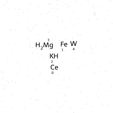 [Ce].[Fe].[KH].[MgH2].[W]